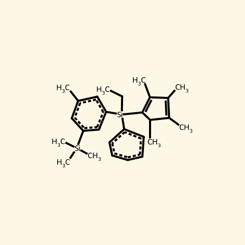 CC[Si](C1=C(C)C(C)=C(C)C1C)(c1ccccc1)c1cc(C)cc([Si](C)(C)C)c1